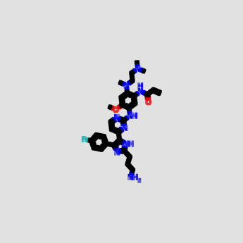 C=CC(=O)Nc1cc(Nc2nccc(-c3[nH]c(CCCN)nc3-c3ccc(F)cc3)n2)c(OC)cc1N(C)CCN(C)C